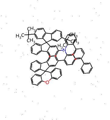 CC(C)(C)c1ccc2c(c1)C1(c3ccccc3-c3ccc(N(c4ccccc4-c4ccc(-c5ccccc5)cc4)c4ccccc4-c4ccc5c(c4)C4(c6ccccc6Oc6ccccc64)c4ccccc4-5)cc31)c1cc(C(C)(C)C)ccc1-2